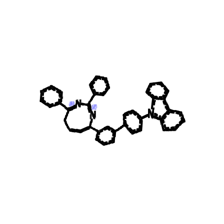 C1=CC/C(c2ccccc2)=N\C(c2ccccc2)=N/C=1c1cccc(-c2ccc(-n3c4ccccc4c4ccccc43)cc2)c1